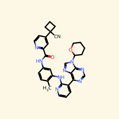 Cc1ccc(NC(=O)c2cc(C3(C#N)CCC3)ccn2)cc1Nc1ncccc1-c1ncnc2c1ncn2C1CCCCO1